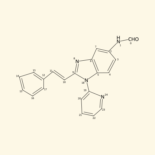 O=CNc1ccc2c(c1)nc(C=Cc1ccccc1)n2-c1ccccn1